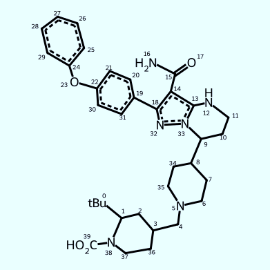 CC(C)(C)C1CC(CN2CCC(C3CCNc4c(C(N)=O)c(-c5ccc(Oc6ccccc6)cc5)nn43)CC2)CCN1C(=O)O